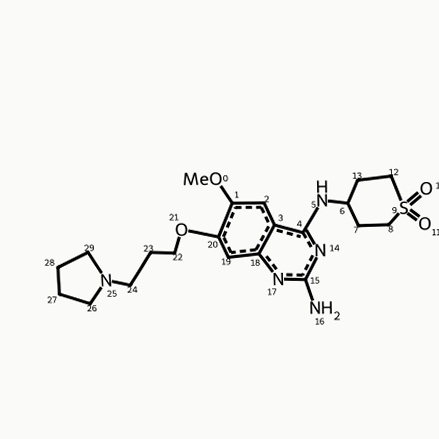 COc1cc2c(NC3CCS(=O)(=O)CC3)nc(N)nc2cc1OCCCN1CCCC1